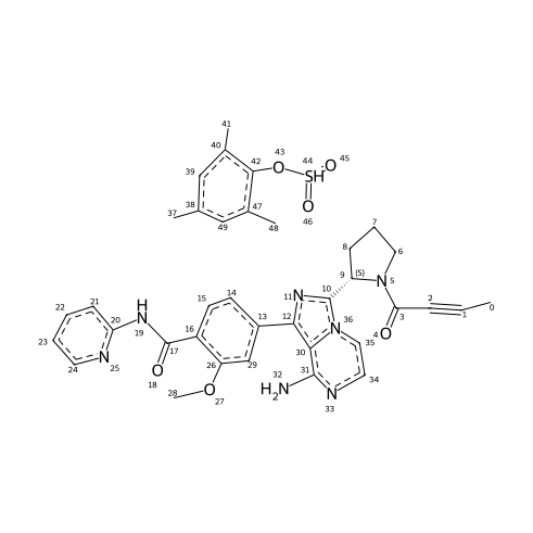 CC#CC(=O)N1CCC[C@H]1c1nc(-c2ccc(C(=O)Nc3ccccn3)c(OC)c2)c2c(N)nccn12.Cc1cc(C)c(O[SH](=O)=O)c(C)c1